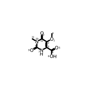 COc1c(C(=O)O)[nH]c(=O)n(C)c1=O